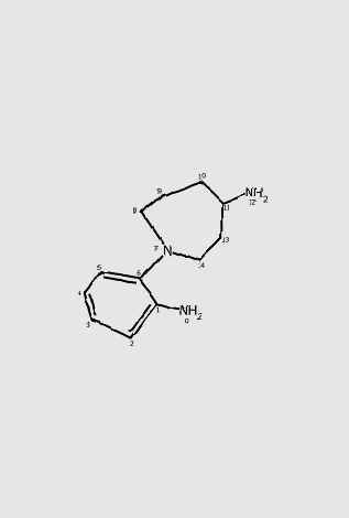 Nc1ccccc1N1CCCC(N)CC1